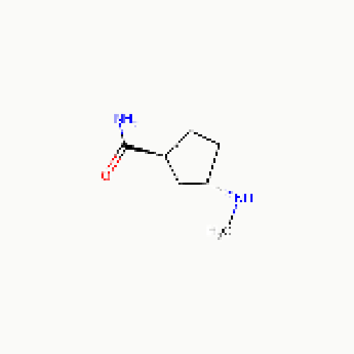 CN[C@H]1CC[C@H](C(N)=O)C1